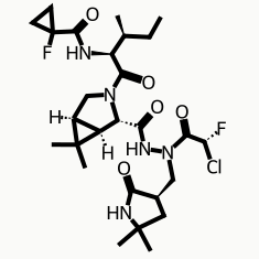 CC[C@H](C)[C@H](NC(=O)C1(F)CC1)C(=O)N1C[C@H]2[C@@H]([C@H]1C(=O)NN(C[C@H]1CC(C)(C)NC1=O)C(=O)[C@H](F)Cl)C2(C)C